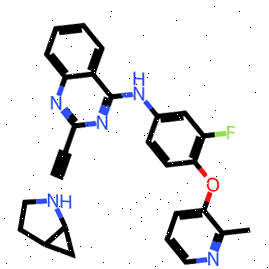 C#Cc1nc(Nc2ccc(Oc3cccnc3C)c(F)c2)c2ccccc2n1.C1CC2CC2N1